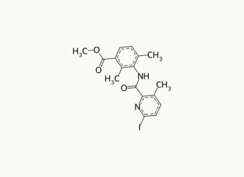 COC(=O)c1ccc(C)c(NC(=O)c2nc(I)ccc2C)c1C